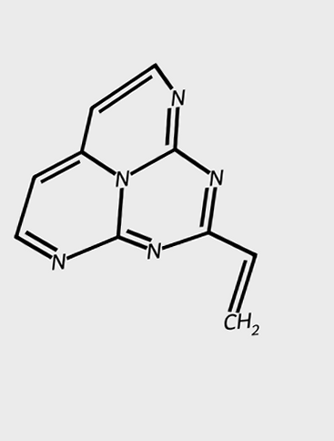 C=CC1=NC2=NC=CC3=CC=NC(=N1)N32